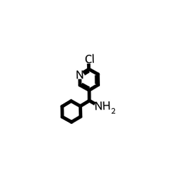 NC(c1ccc(Cl)nc1)C1CCCCC1